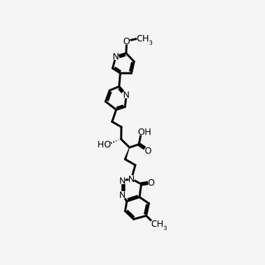 COc1ccc(-c2ccc(CC[C@@H](O)[C@H](CCn3nnc4ccc(C)cc4c3=O)C(=O)O)cn2)cn1